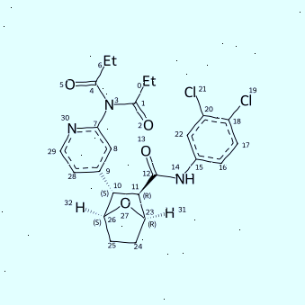 CCC(=O)N(C(=O)CC)c1cc([C@@H]2[C@@H](C(=O)Nc3ccc(Cl)c(Cl)c3)[C@H]3CC[C@@H]2O3)ccn1